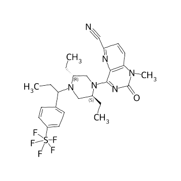 CCC(c1ccc(S(F)(F)(F)(F)F)cc1)N1C[C@H](CC)N(c2nc(=O)n(C)c3ccc(C#N)nc23)C[C@H]1CC